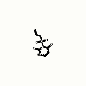 C=CCS(=O)(=O)n1c(=O)cc[nH]c1=O